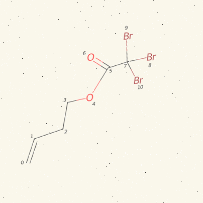 C=CCCOC(=O)C(Br)(Br)Br